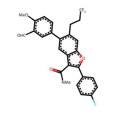 CNC(=O)c1c(-c2ccc(F)cc2)oc2cc(CCC(F)(F)F)c(-c3ccc(OC)c(C=O)c3)cc12